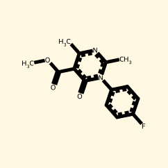 COC(=O)c1c(C)nc(C)n(-c2ccc(F)cc2)c1=O